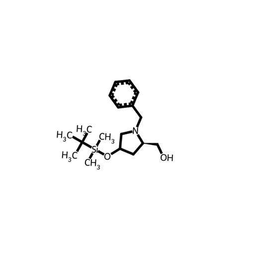 CC(C)(C)[Si](C)(C)OC1C[C@H](CO)N(Cc2ccccc2)C1